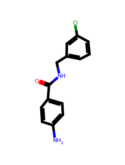 Nc1ccc(C(=O)NCc2cccc(Cl)c2)cc1